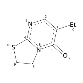 CCc1cnc2n(c1=O)CCS2